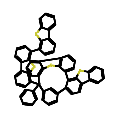 c1ccc([Si]2(c3cccc4c3sc3c(-c5cccc6c5sc5ccccc56)cccc34)c3cccc(c3)-c3ccc4c(sc5ccccc54)c3-c3cccc4c3sc3c2cccc34)cc1